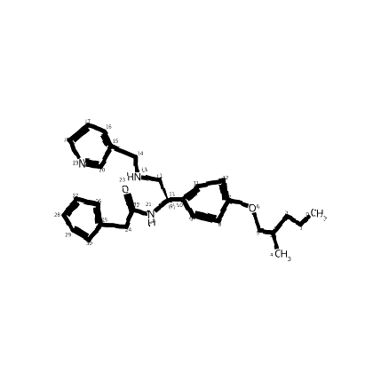 CCCC(C)COc1ccc([C@H](CNCc2cccnc2)NC(=O)Cc2ccccc2)cc1